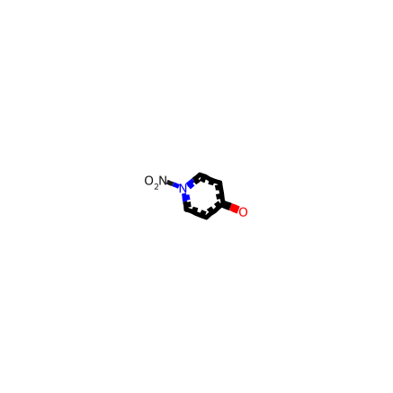 O=c1ccn([N+](=O)[O-])cc1